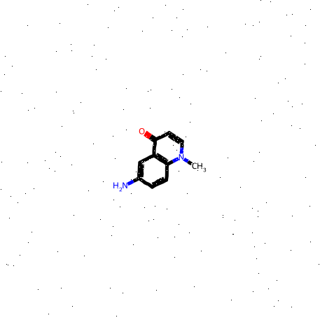 Cn1ccc(=O)c2cc(N)ccc21